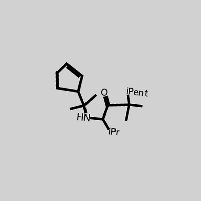 CCCC(C)C(C)(C)C(=O)C(NC(C)(C)C1C=CCC1)C(C)C